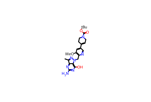 COc1cc(C2=CCN(C(=O)OC(C)(C)C)CC2)cnc1Cn1nc(C)c2nc(N)nc(O)c21